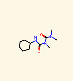 CN(C)C(=O)N(C)C(=O)NC1CCCCC1